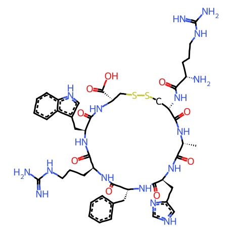 C[C@H]1NC(=O)[C@@H](NC(=O)[C@@H](N)CCCNC(=N)N)CSSC[C@@H](C(=O)O)NC(=O)[C@H](Cc2c[nH]c3ccccc23)NC(=O)[C@H](CCCNC(=N)N)NC(=O)[C@@H](Cc2ccccc2)NC(=O)[C@H](Cc2c[nH]cn2)NC1=O